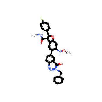 CNC(=O)c1c(-c2ccc(F)cc2)oc2cc(NOC)c(-c3ccc4nnn(Cc5ccccc5)c(=O)c4c3)cc12